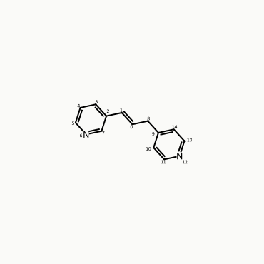 C(=C\c1cccnc1)/Cc1ccncc1